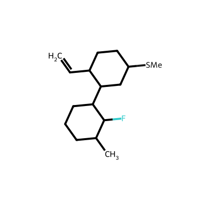 C=CC1CCC(SC)CC1C1CCCC(C)C1F